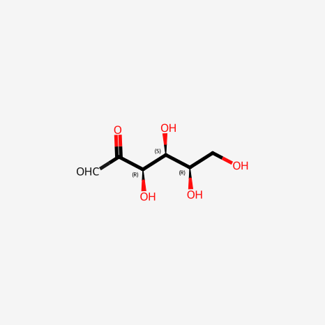 O=CC(=O)[C@H](O)[C@@H](O)[C@H](O)CO